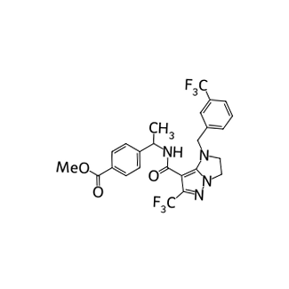 COC(=O)c1ccc(C(C)NC(=O)c2c(C(F)(F)F)nn3c2N(Cc2cccc(C(F)(F)F)c2)CC3)cc1